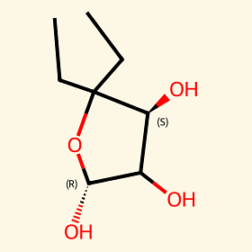 CCC1(CC)O[C@@H](O)C(O)[C@@H]1O